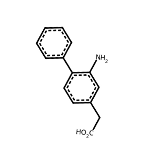 Nc1cc(CC(=O)O)ccc1-c1ccccc1